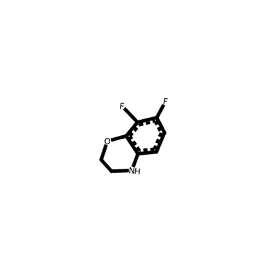 Fc1ccc2c(c1F)OCCN2